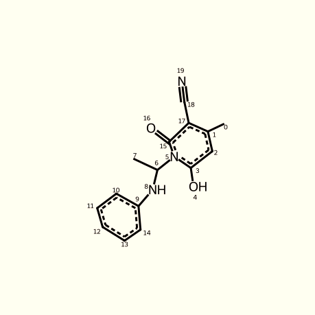 Cc1cc(O)n(C(C)Nc2ccccc2)c(=O)c1C#N